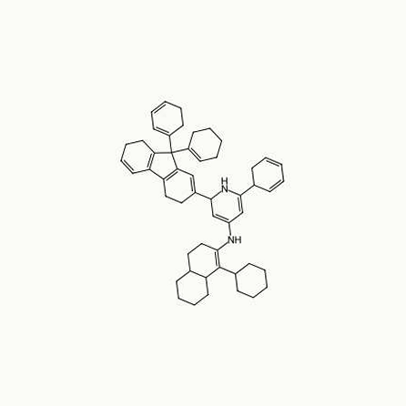 C1=CCCC(C2(C3=CCCCC3)C3=C(CCC(C4C=C(NC5=C(C6CCCCC6)C6CCCCC6CC5)C=C(C5C=CC=CC5)N4)=C3)C3=C2CCC=C3)=C1